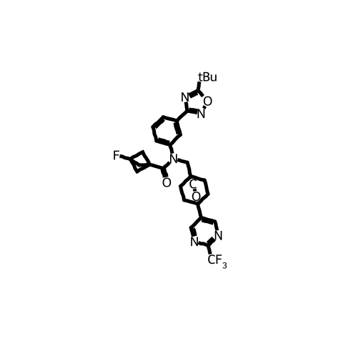 CC(C)(C)c1nc(-c2cccc(N(CC34CCC(c5cnc(C(F)(F)F)nc5)(CC3)OC4)C(=O)C34CC(F)(C3)C4)c2)no1